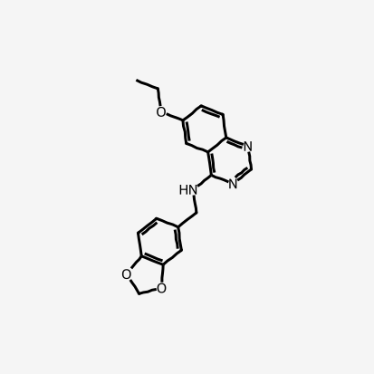 CCOc1ccc2ncnc(NCc3ccc4c(c3)OCO4)c2c1